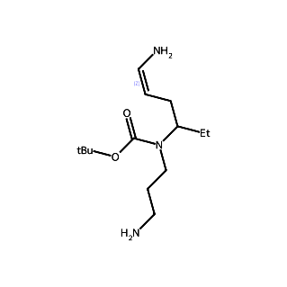 CCC(C/C=C\N)N(CCCN)C(=O)OC(C)(C)C